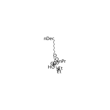 CCCCCCCCCCCCCCCCCCOCC(COP(=O)(O)CCN(CC)CC)OC(=O)CCC